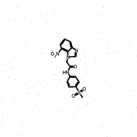 CS(=O)(=O)c1ccc(NC(=O)Cn2cnc3cccc([N+](=O)[O-])c32)cc1